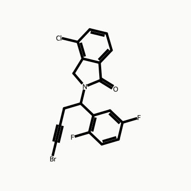 O=C1c2cccc(Cl)c2CN1C(CC#CBr)c1cc(F)ccc1F